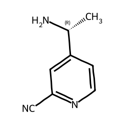 C[C@@H](N)c1ccnc(C#N)c1